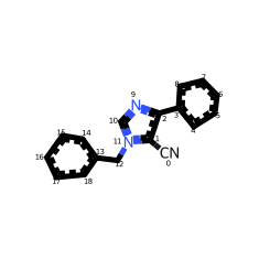 N#Cc1c(-c2ccccc2)n[c]n1Cc1ccccc1